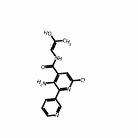 C/C(O)=C\NC(=O)c1cc(Cl)nc(-c2cccnc2)c1N